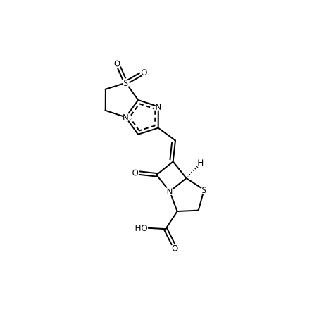 O=C(O)C1CS[C@@H]2C(=Cc3cn4c(n3)S(=O)(=O)CC4)C(=O)N12